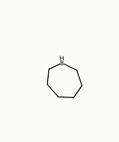 B1CCCCCC1